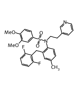 COc1ccc(S(=O)(=O)N(CCc2cccnc2)c2ccc(C)cc2Cc2c(F)cccc2F)cc1OC